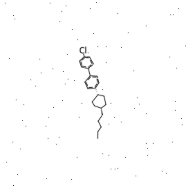 CCCCC[C@H]1CC[C@H](c2ccc(-c3ccc(Cl)cc3)cc2)CC1